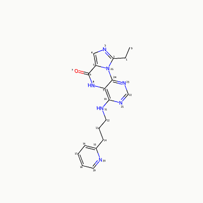 CCc1ncc2c(=O)[nH]c3c(NCCCc4ccccn4)ncnc3n12